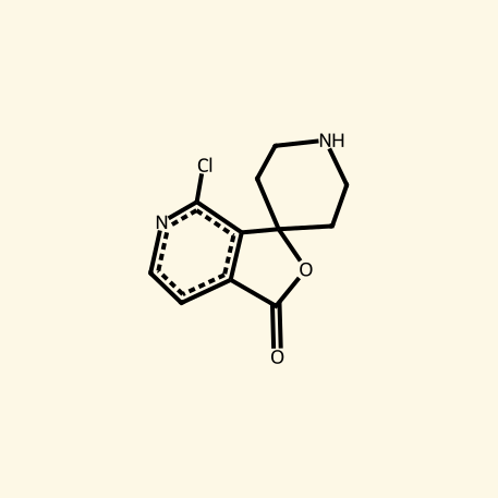 O=C1OC2(CCNCC2)c2c1ccnc2Cl